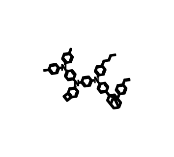 C=Cc1ccc(C23CC4CC(C2)CC(c2ccc(N(c5ccc(CCCC)cc5)c5ccc(N(c6ccc(N(c7ccc(C)cc7)c7ccc(C)cc7)cc6)c6ccc7c(c6)CC7)cc5)cc2)(C4)C3)cc1